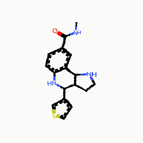 CNC(=O)c1ccc2c(c1)C1NCCC1C(c1ccsc1)N2